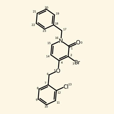 O=c1c(Br)c(OCc2ccccc2Cl)ccn1Cc1ccccc1